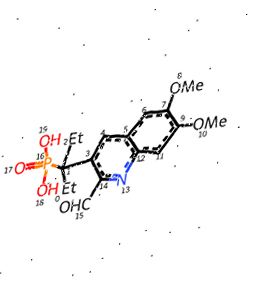 CCC(CC)(c1cc2cc(OC)c(OC)cc2nc1C=O)P(=O)(O)O